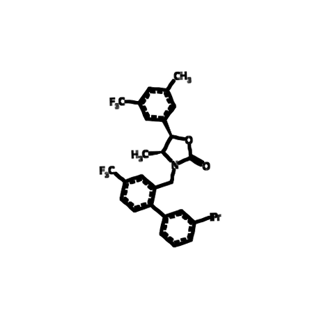 Cc1cc([C@H]2OC(=O)N(Cc3cc(C(F)(F)F)ccc3-c3cccc(C(C)C)c3)[C@H]2C)cc(C(F)(F)F)c1